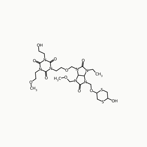 CCN1C(=O)N(COCCn2c(=O)n(CCO)c(=O)n(CCOC)c2=O)C2C1N(COC1CSC(O)CS1)C(=O)N2COC